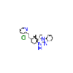 Cn1c(Nc2ccc(CCc3ncccc3Cl)cc2)nc2ccccc21